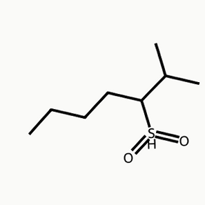 CCCCC(C(C)C)[SH](=O)=O